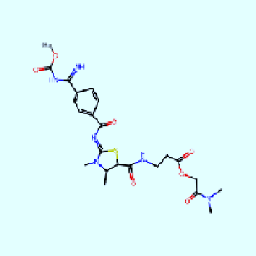 CC1C(C(=O)NCCC(=O)OCC(=O)N(C)C)SC(=NC(=O)c2ccc(C(=N)NC(=O)OC(C)(C)C)cc2)N1C